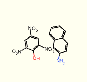 Nc1ccc2ccccc2c1.O=[N+]([O-])c1cc([N+](=O)[O-])c(O)c([N+](=O)[O-])c1